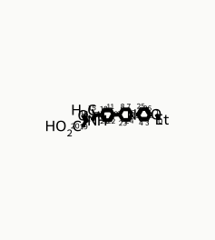 CCOc1ccc(N2CCC(c3ccc([C@H](C)NC(=O)CC(=O)O)cc3)CC2)cc1